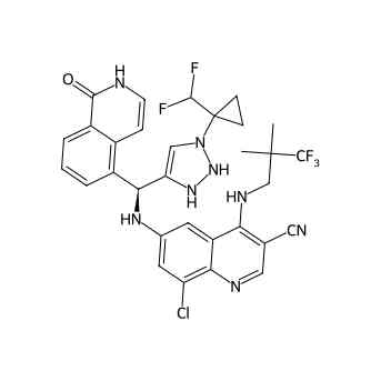 CC(C)(CNc1c(C#N)cnc2c(Cl)cc(N[C@H](C3=CN(C4(C(F)F)CC4)NN3)c3cccc4c(=O)[nH]ccc34)cc12)C(F)(F)F